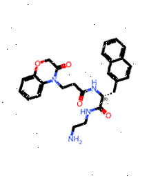 NCCNC(=O)[C@@H](Cc1ccc2ccccc2c1)NC(=O)CCN1C(=O)COc2ccccc21